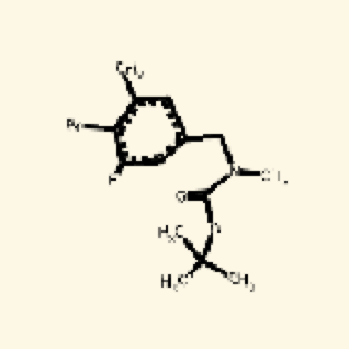 Cc1cc(CN(C)C(=O)OC(C)(C)C)cc(F)c1Br